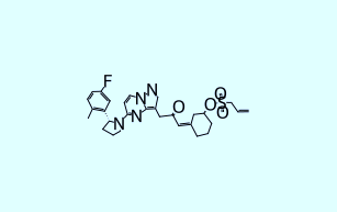 C=CCS(=O)(=O)O[C@H]1CCC/C(=C/C(=O)Cc2cnn3ccc(N4CCC[C@@H]4c4cc(F)ccc4C)nc23)C1